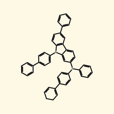 C1=CC(c2ccc(N(c3ccccc3)c3ccc4c5cc(-c6ccccc6)ccc5n(-c5ccc(-c6ccccc6)cc5)c4c3)cc2)=CCC1